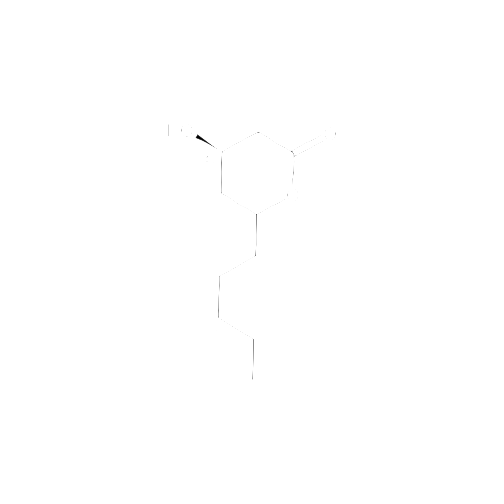 CC[C@H](C)CCC1C[C@@H](O)CC(=O)O1